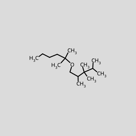 CCCCC(C)(C)OCC(C)C(C)(C)C(C)C